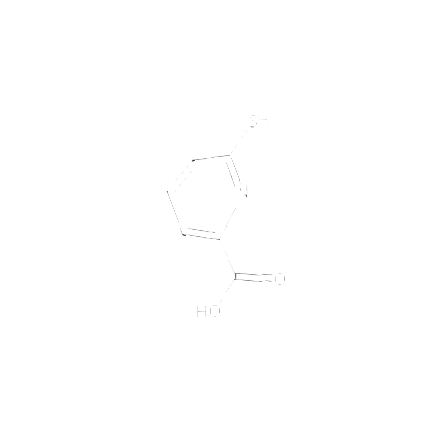 O=C(O)c1cccc(S)n1